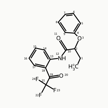 CCC(Oc1ccccc1)C(=O)Nc1ccccc1C(=O)C(F)(F)F